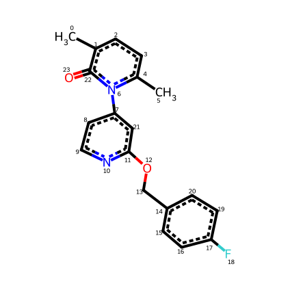 Cc1ccc(C)n(-c2ccnc(OCc3ccc(F)cc3)c2)c1=O